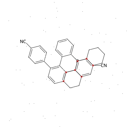 N#Cc1ccc(-c2cccc(-c3ccc(C#N)cc3)c2-c2ccccc2P(C2CCCCC2)C2CCCCC2)cc1